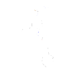 CO[C@H]1CN(C(N)=S)CC[C@H]1NC(=O)OCc1ccccc1